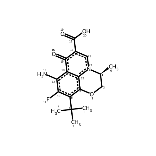 C[C@H]1COc2c(C(C)(C)C)c(F)c(N)c3c(=O)c(C(=O)O)cn1c23